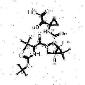 CC(C)(C)OC(=O)NC(C(=O)N1C[C@H]2[C@@H]([C@H]1C(=O)NC1(C(=O)C(=O)O)CC1)C2(C)C)C(C)(C)C